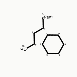 C1CCCCC1.CCCCCCCCO